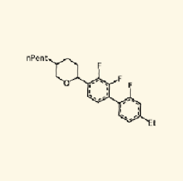 CCCCCC1CCC(c2ccc(-c3ccc(CC)cc3F)c(F)c2F)OC1